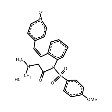 COc1ccc(S(=O)(=O)N(C(=O)CN(C)C)c2ccccc2C=Cc2cc[n+]([O-])cc2)cc1.Cl